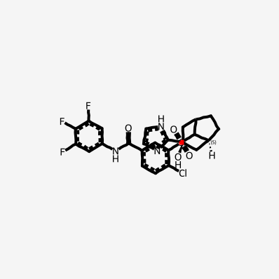 O=C(Nc1cc(F)c(F)c(F)c1)c1ccc(Cl)c(S(=O)(=O)C2C3CC[C@H]2C[C@](O)(c2ncc[nH]2)C3)c1